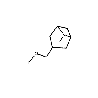 CN1C2CC(COI)CC1C2